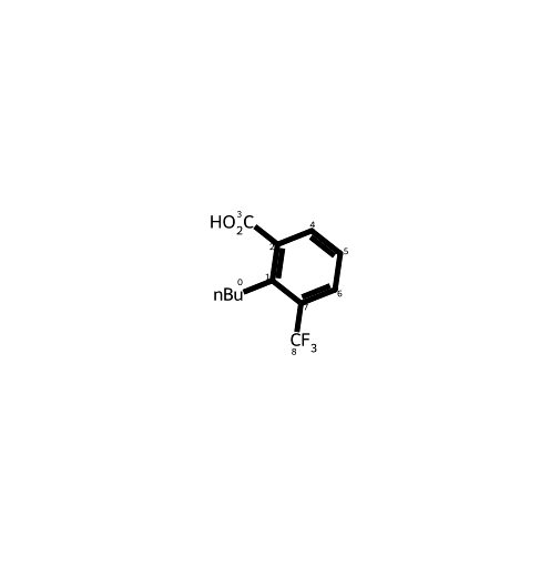 CCCCc1c(C(=O)O)cccc1C(F)(F)F